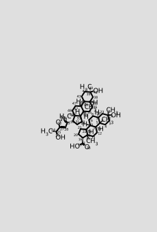 C[C@@]1(O)CC[C@@]2(C)[C@@H](CC[C@@H]3[C@@H]2CC[C@]2(C)[C@@H](C(=O)O)CC[C@@H]32)C1.C[C@H](O)c1cc([C@H]2CC[C@H]3[C@@H]4CC[C@H]5C[C@](C)(O)CC[C@]5(C)[C@H]4CC[C@]23C)no1